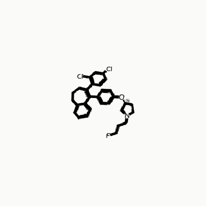 FCCCN1CC[C@H](Oc2ccc(C3=C(c4ccc(Cl)cc4Cl)CCCc4ccccc43)cc2)C1